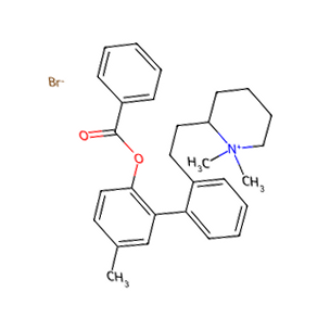 Cc1ccc(OC(=O)c2ccccc2)c(-c2ccccc2CCC2CCCC[N+]2(C)C)c1.[Br-]